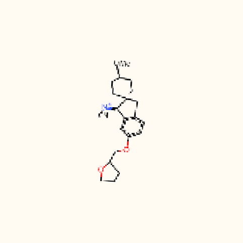 CO[C@H]1CC[C@]2(CC1)Cc1ccc(OCC3CCCO3)cc1/C2=N\C#N